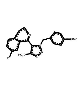 COc1ccc(Cn2nnc(C(=O)O)c2-c2nccc3ccc(Cl)cc23)cc1